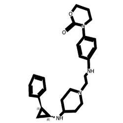 O=C1OCCCN1c1ccc(NCCN2CCC(N[C@@H]3C[C@H]3c3ccccc3)CC2)cc1